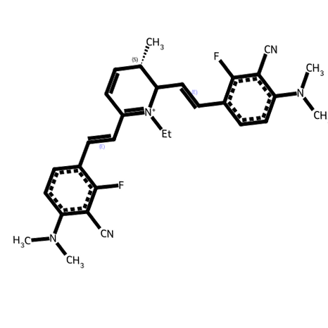 CC[N+]1=C(/C=C/c2ccc(N(C)C)c(C#N)c2F)C=C[C@H](C)C1/C=C/c1ccc(N(C)C)c(C#N)c1F